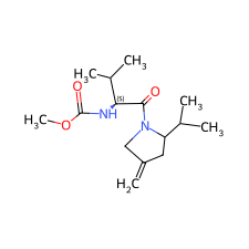 C=C1CC(C(C)C)N(C(=O)[C@@H](NC(=O)OC)C(C)C)C1